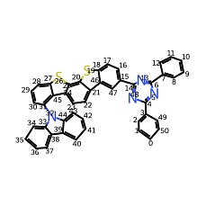 c1ccc(-c2nc(-c3ccccc3)nc(-c3ccc4sc5c(ccc6c5sc5cccc(-n7c8ccccc8c8ccccc87)c56)c4c3)n2)cc1